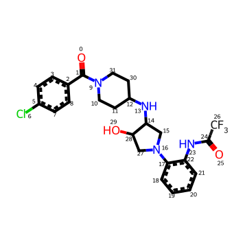 O=C(c1ccc(Cl)cc1)N1CCC(NC2CN(c3ccccc3NC(=O)C(F)(F)F)CC2O)CC1